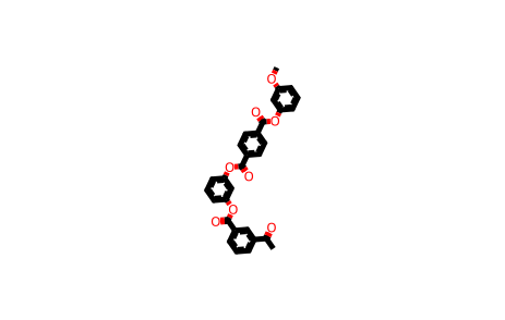 COc1cccc(OC(=O)c2ccc(C(=O)Oc3cccc(OC(=O)c4cccc(C(C)=O)c4)c3)cc2)c1